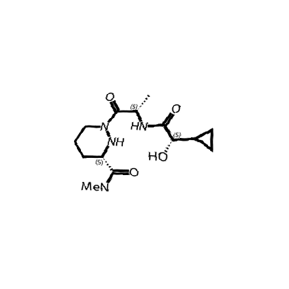 CNC(=O)[C@@H]1CCCN(C(=O)[C@H](C)NC(=O)[C@@H](O)C2CC2)N1